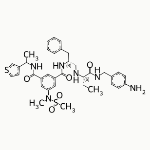 CC[C@H](NC[C@@H](Cc1ccccc1)NC(=O)c1cc(C(=O)NC(C)c2ccsc2)cc(N(C)S(C)(=O)=O)c1)C(=O)NCc1ccc(N)cc1